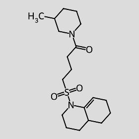 CC1CCCN(C(=O)CCCS(=O)(=O)N2CCCC3CCCC=C32)C1